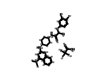 CCC(Oc1ccc(F)c(F)c1)C(=O)N[C@H]1CC[C@@H](Nc2nc(N(C)C)c3ccccc3n2)CC1.O=C(O)C(F)(F)F